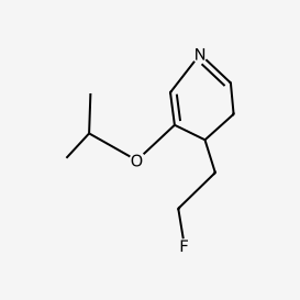 CC(C)OC1=CN=CCC1CCF